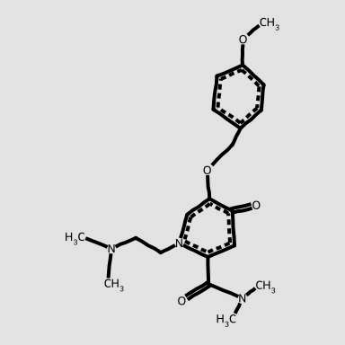 COc1ccc(COc2cn(CCN(C)C)c(C(=O)N(C)C)cc2=O)cc1